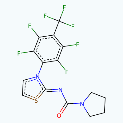 O=C(N=c1sccn1-c1c(F)c(F)c(C(F)(F)F)c(F)c1F)N1CCCC1